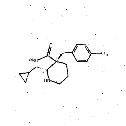 COC(=O)[C@]1(Oc2ccc(C(F)(F)F)cc2)CCCN[C@@H]1CC1CC1